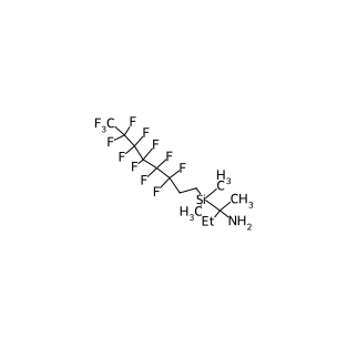 CCC(C)(N)[Si](C)(C)CCC(F)(F)C(F)(F)C(F)(F)C(F)(F)C(F)(F)C(F)(F)F